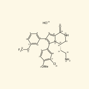 COc1ccc(-c2c(-c3cccc(OC(F)(F)F)c3)cc3n2[C@@H](CCN)CNC3=O)cc1Cl.Cl